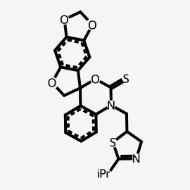 CC(C)C1=NCC(CN2C(=S)OC3(COc4cc5c(cc43)OCO5)c3ccccc32)S1